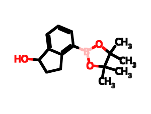 CC1(C)OB(c2cccc3c2CCC3O)OC1(C)C